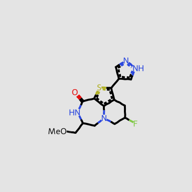 COCC1CN2CC(F)Cc3c(-c4cn[nH]c4)sc(c32)C(=O)N1